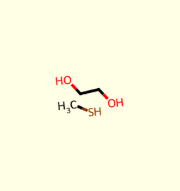 CS.OCCO